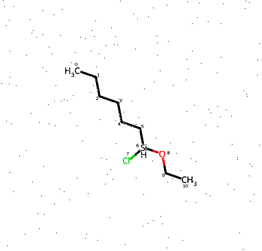 CCCCCC[SiH](Cl)OCC